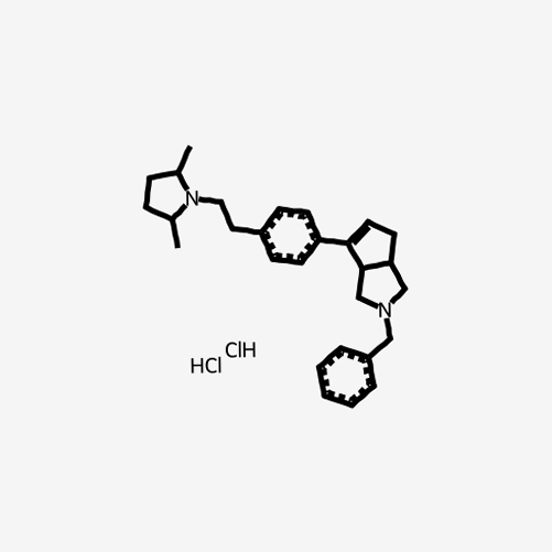 CC1CCC(C)N1CCc1ccc(C2=CCC3CN(Cc4ccccc4)CC23)cc1.Cl.Cl